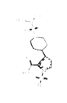 CN(C)S(=O)(=O)N1CCC(c2ccn(S(N)(=O)=O)c2C(=O)O)CC1